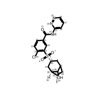 C[C@H]1CC2C[C@@H](S(=O)(=O)c3cc(C(=O)Nc4cccnn4)ccc3Cl)C[C@H]1[C@]2(C)O